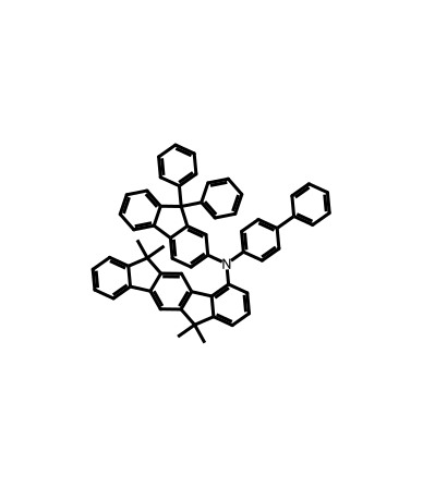 CC1(C)c2ccccc2-c2cc3c(cc21)-c1c(N(c2ccc(-c4ccccc4)cc2)c2ccc4c(c2)C(c2ccccc2)(c2ccccc2)c2ccccc2-4)cccc1C3(C)C